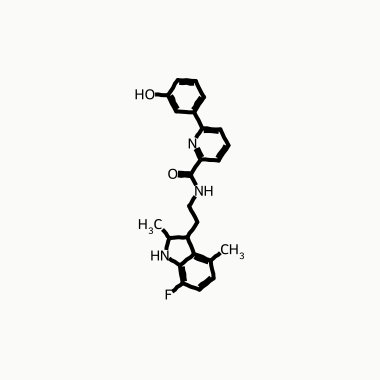 Cc1ccc(F)c2c1C(CCNC(=O)c1cccc(-c3cccc(O)c3)n1)C(C)N2